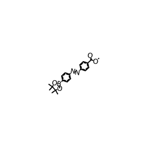 COC(=O)c1ccc(/N=N/c2ccc(B3OC(C)(C)C(C)(C)O3)cc2)cc1